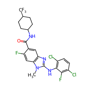 Cn1c(Nc2c(Cl)ccc(Cl)c2F)nc2cc(C(=O)NC3CCC(C(F)(F)F)CC3)c(F)cc21